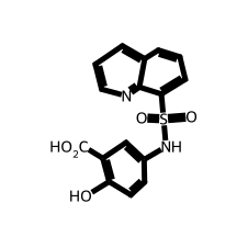 O=C(O)c1cc(NS(=O)(=O)c2cccc3cccnc23)ccc1O